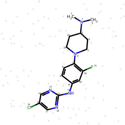 CN(C)C1CCN(c2ccc(Nc3ncc(Cl)cn3)cc2F)CC1